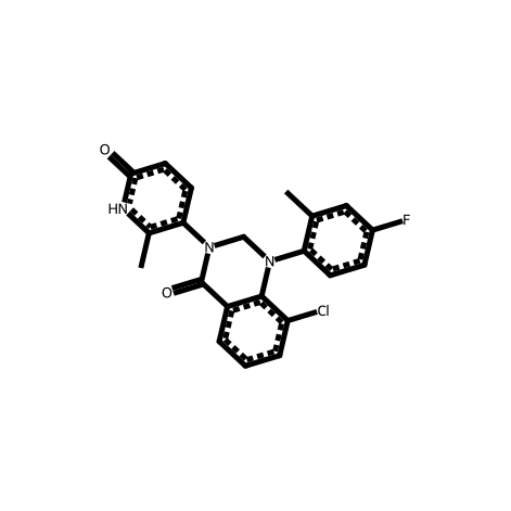 Cc1cc(F)ccc1N1CN(c2ccc(=O)[nH]c2C)C(=O)c2cccc(Cl)c21